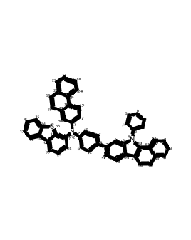 c1ccc(-n2c3cc(-c4ccc(N(c5ccc6c(ccc7ccccc76)c5)c5cccc6c5sc5ccccc56)cc4)ccc3c3ccc4ccccc4c32)cc1